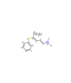 CCOC(=O)C(=CC=CN(C)C)Sc1ccccc1